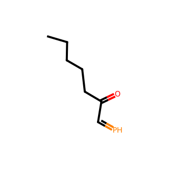 CCCCCC(=O)C=P